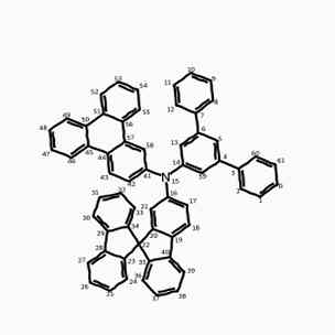 c1ccc(-c2cc(-c3ccccc3)cc(N(c3ccc4c(c3)C3(c5ccccc5-c5ccccc53)c3ccccc3-4)c3ccc4c5ccccc5c5ccccc5c4c3)c2)cc1